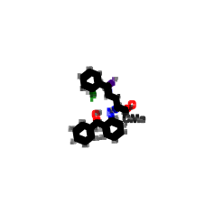 COC(=O)C(C/C=C(\I)c1ccccc1F)=Nc1ccccc1C(=O)c1ccccc1